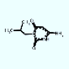 CC(C)Cn1c(=O)cc(N)[nH]c1=O